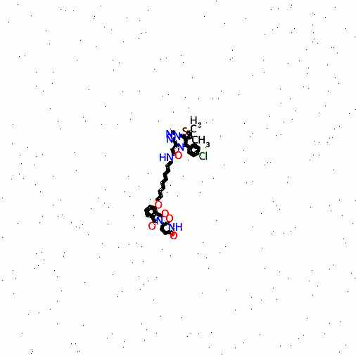 Cc1sc2c(c1C)C(c1ccc(Cl)cc1)=N[C@@H](CC(=O)NCCCCCCCCCCOc1cccc3c1C(=O)N(C1CCC(=O)NC1=O)C3=O)c1nncn1-2